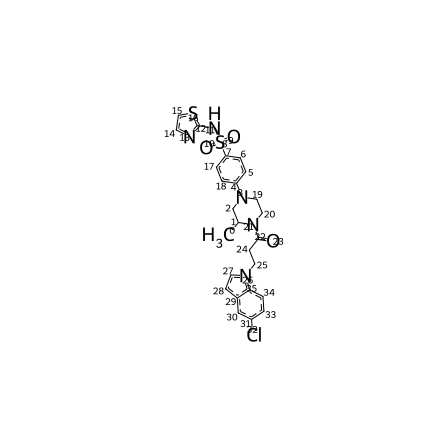 CC1CN(c2ccc(S(=O)(=O)Nc3nccs3)cc2)CCN1C(=O)CCn1ccc2cc(Cl)ccc21